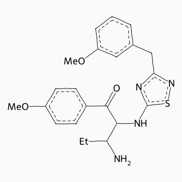 CCC(N)C(Nc1nc(Cc2cccc(OC)c2)ns1)C(=O)c1ccc(OC)cc1